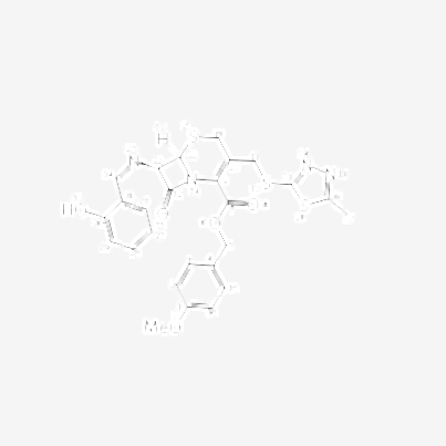 COc1ccc(COC(=O)C2=C(CSc3nnc(C)s3)CS[C@@H]3[C@H](/N=C\c4ccccc4O)C(=O)N23)cc1